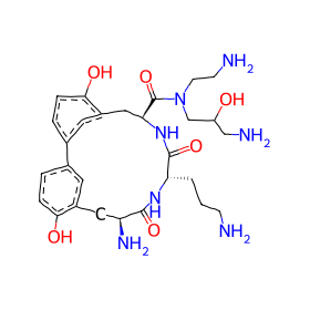 NCCC[C@@H]1NC(=O)[C@@H](N)Cc2cc(ccc2O)-c2ccc(O)c(c2)C[C@@H](C(=O)N(CCN)CC(O)CN)NC1=O